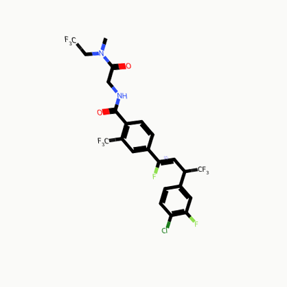 CN(CC(F)(F)F)C(=O)CNC(=O)c1ccc(/C(F)=C/C(c2ccc(Cl)c(F)c2)C(F)(F)F)cc1C(F)(F)F